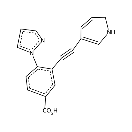 O=C(O)c1ccc(-n2cccn2)c(C#CC2=CNCC=C2)c1